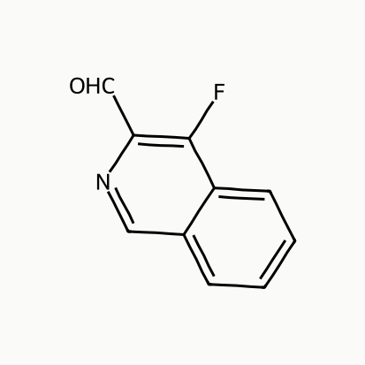 O=Cc1ncc2ccccc2c1F